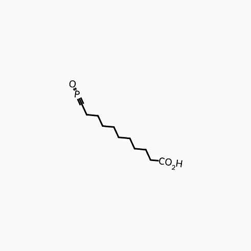 O=P#CCCCCCCCCCC(=O)O